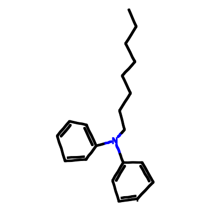 CCCCCCCCN(c1cc[c]cc1)c1ccccc1